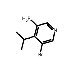 Bc1cncc(Br)c1C(C)C